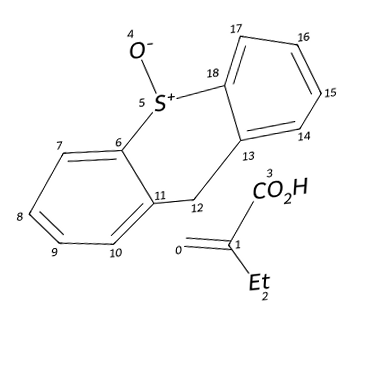 C=C(CC)C(=O)O.[O-][S+]1c2ccccc2Cc2ccccc21